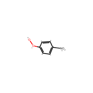 [O]Oc1[c]cc([N+](=O)[O-])cc1